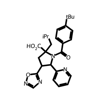 CC(C)CC1(C(=O)O)CC(c2ncno2)C(c2ccccn2)N1C(=O)c1ccc(C(C)(C)C)cc1